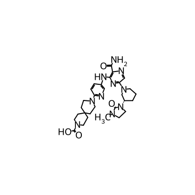 CN1CCN([C@H]2CCCN(c3cnc(C(N)=O)c(Nc4ccc(N5CCC6(CCN(C(=O)O)CC6)CC5)nc4)n3)C2)C1=O